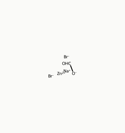 O=C[O-].[Br-].[Br-].[Na+].[Zn+2]